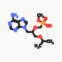 COP(=O)(O)CO[C@@H](COC(C)C)Cn1cnc2c(N)ncnc21